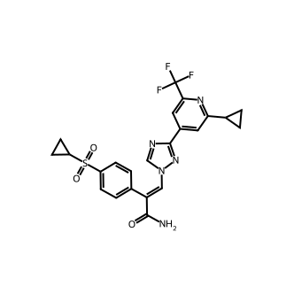 NC(=O)/C(=C/n1cnc(-c2cc(C3CC3)nc(C(F)(F)F)c2)n1)c1ccc(S(=O)(=O)C2CC2)cc1